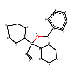 C=C[Si](OCc1ccccc1)(C1CCCCC1)C1CCCCC1